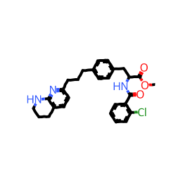 COC(=O)C(Cc1ccc(CCCc2ccc3c(n2)NCCC3)cc1)NC(=O)c1ccccc1Cl